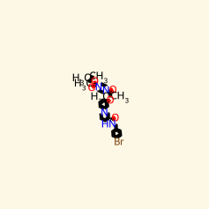 CC(C)(C)OC(=O)N1CCN(C(=O)C(C)(C)Oc2cccc(N3CCC[C@@H](C(=O)NCc4ccc(Br)cc4)C3)c2)CC1